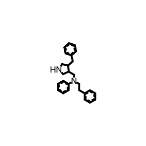 c1ccc(CCN(CC2CNCC2Cc2ccccc2)c2ccccc2)cc1